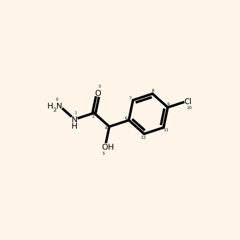 NNC(=O)C(O)c1ccc(Cl)cc1